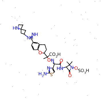 CC(ON=C(C(=O)NC1C(=O)N(OS(=O)(=O)O)C1(C)C)c1csc(N)n1)(C(=O)O)C1CCc2cc(C(=N)NC3CC4(CCN4)C3)ccc2O1